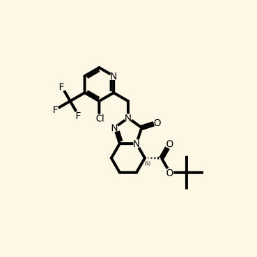 CC(C)(C)OC(=O)[C@@H]1CCCc2nn(Cc3nccc(C(F)(F)F)c3Cl)c(=O)n21